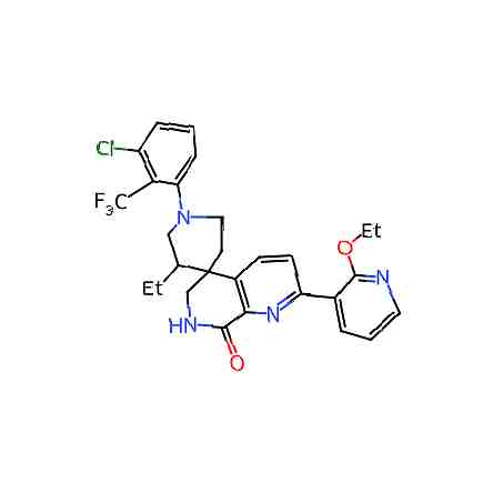 CCOc1ncccc1-c1ccc2c(n1)C(=O)NCC21CCN(c2cccc(Cl)c2C(F)(F)F)CC1CC